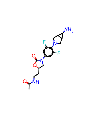 CC(=O)NCCC1CN(c2cc(F)c(N3CC4C(N)C4C3)c(F)c2)C(=O)O1